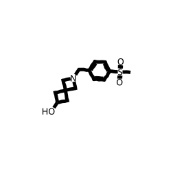 CS(=O)(=O)c1ccc(CN2CC3(CC(O)C3)C2)cc1